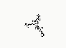 COC(=O)CCCC[C@H]1C(=O)N(CC(=O)OC(C)(C)C)CCN1C(=O)CNC(=O)OCc1ccccc1